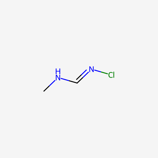 CNC=NCl